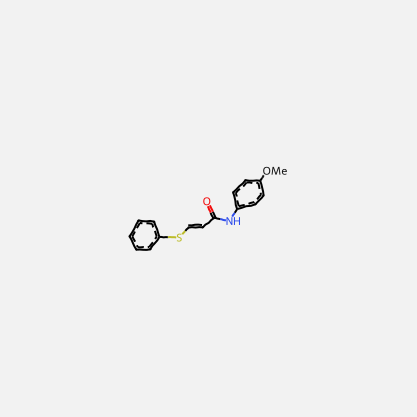 COc1ccc(NC(=O)C=CSc2ccccc2)cc1